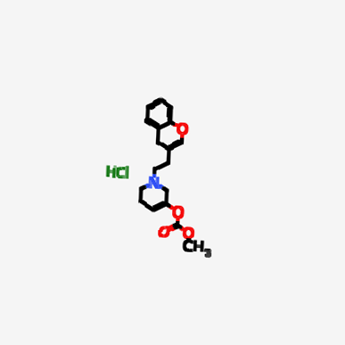 COC(=O)OC1=CCCN(CCC2=COc3ccccc3C2)C1.Cl